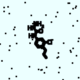 CCCc1ccc(NC(=O)NN)cc1Cl